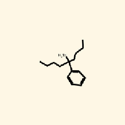 CCCC[C]([SbH2])(CCCC)c1ccccc1